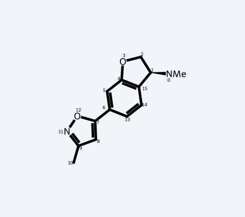 CN[C@@H]1COc2cc(-c3cc(C)no3)ccc21